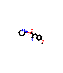 COc1ccc(/C=C(\C#N)C(=O)O/N=C2\CCCCCN2)cc1